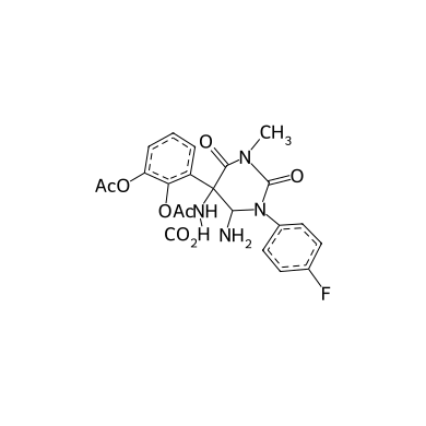 CC(=O)Oc1cccc(C2(NC(=O)O)C(=O)N(C)C(=O)N(c3ccc(F)cc3)C2N)c1OC(C)=O